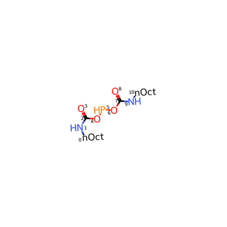 CCCCCCCCNC(=O)OPOC(=O)NCCCCCCCC